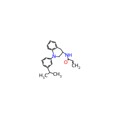 C=CC(=O)NC1Cc2ccccc2N(c2cccc(C(C)C)c2)C1